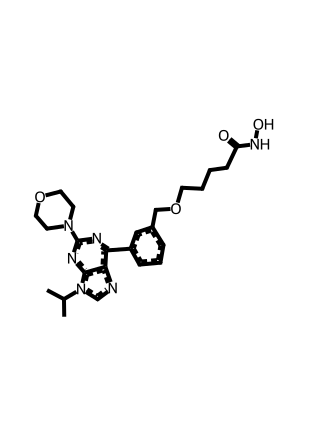 CC(C)n1cnc2c(-c3cccc(COCCCCC(=O)NO)c3)nc(N3CCOCC3)nc21